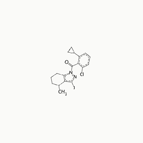 CC1CCCc2c1c(I)nn2C(=O)c1c(Cl)cccc1C1CC1